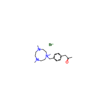 CC(=O)Cc1ccc(C[N+]2(C)CCN(C)CCN(C)CC2)cc1.[Br-]